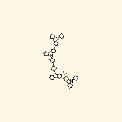 CC1(C)c2cc3c(cc2-c2cc4c5ccccc5n(-c5ccc(-c6ccc7c(c6)C(C)(C)c6cccc8c9cc(-c%10ccc%11c(c%10)c%10ccccc%10n%11-c%10ccccc%10)ccc9n-7c68)cc5)c4cc21)c1ccccc1n3-c1ccccc1